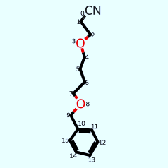 N#CCCOCCCCOCc1ccccc1